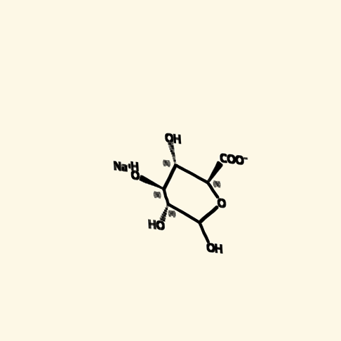 O=C([O-])[C@H]1OC(O)[C@H](O)[C@@H](O)[C@@H]1O.[Na+]